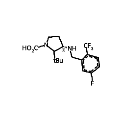 CC(C)(C)C1[C@@H](NCc2cc(F)ccc2C(F)(F)F)CCN1C(=O)O